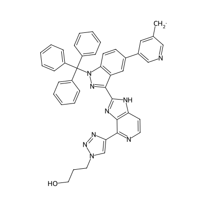 [CH2]c1cncc(-c2ccc3c(c2)c(-c2nc4c(-c5cn(CCCO)nn5)nccc4[nH]2)nn3C(c2ccccc2)(c2ccccc2)c2ccccc2)c1